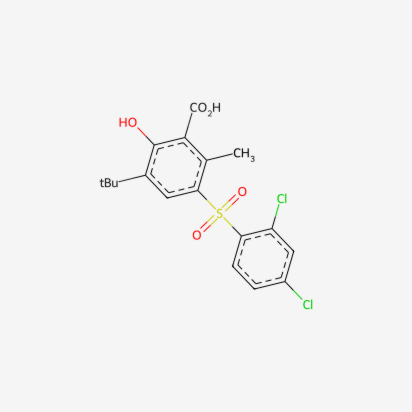 Cc1c(S(=O)(=O)c2ccc(Cl)cc2Cl)cc(C(C)(C)C)c(O)c1C(=O)O